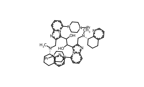 CC(C)N1CCN(c2cccc3nc(CN(C)[C@H]4CCCc5cccnc54)c(C(O)C(O)c4c(CN(C)[C@H]5CCCc6cccnc65)nc5cccc(N6CCN(C(C)C)CC6)n45)n23)CC1